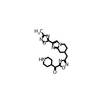 Cc1noc(-c2cn3c(n2)CC(Cc2noc(C(=O)C4CCNCC4)n2)CC3)n1